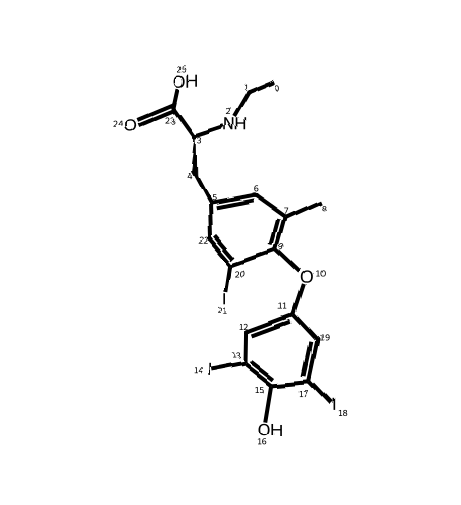 CCN[C@@H](Cc1cc(C)c(Oc2cc(I)c(O)c(I)c2)c(I)c1)C(=O)O